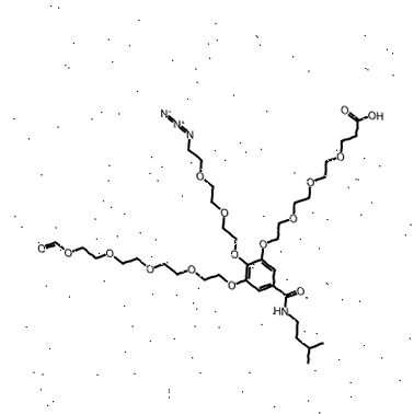 CC(C)CCNC(=O)c1cc(OCCOCCOCCOCCOC=O)c(OCCOCCOCCN=[N+]=[N-])c(OCCOCCOCCOCCC(=O)O)c1